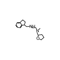 CN(CCNCC1CCc2ccccc21)CC1CCCO1